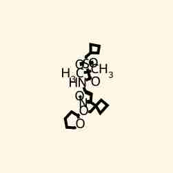 CC(C)(C(=O)Nc1cc(C2(COC3CCCCO3)CCC2)no1)S(=O)(=O)CC1CCC1